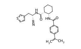 C=C(C)c1ccc(C(=O)N[C@H]2CCCC[C@H]2C(=O)N[C@H](C#N)Cc2ccsc2)cc1